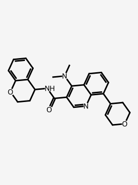 CN(C)c1c(C(=O)NC2CCOc3ccccc32)cnc2c(C3=CCOCC3)cccc12